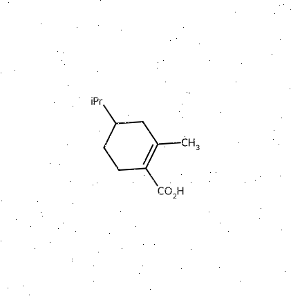 CC1=C(C(=O)O)CCC(C(C)C)C1